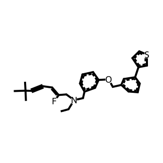 CCN(CC(F)=CC#CC(C)(C)C)Cc1cccc(OCc2cccc(-c3ccsc3)c2)c1